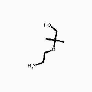 CC(C)(CO)OCCN